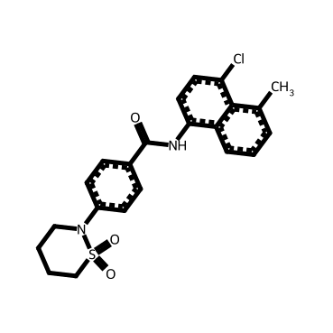 Cc1cccc2c(NC(=O)c3ccc(N4CCCCS4(=O)=O)cc3)ccc(Cl)c12